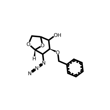 [N-]=[N+]=NC1[C@@H]2OCC(O2)C(O)[C@H]1OCc1ccccc1